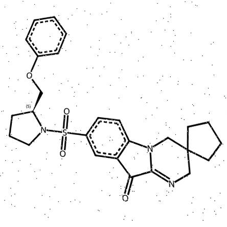 O=C1C2=NCC3(CCCC3)CN2c2ccc(S(=O)(=O)N3CCC[C@H]3COc3ccccc3)cc21